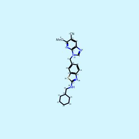 COc1nc2c(cc1C#N)ncn2Cc1ccc2nc(NCC3CCCCC3)sc2c1